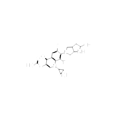 CC1CC2CN(c3c(F)cc4c(=O)c(OC(=O)O)cn(C5CC5)c4c3F)CC2N1.Cl